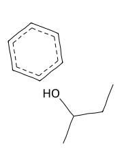 CCC(C)O.c1ccccc1